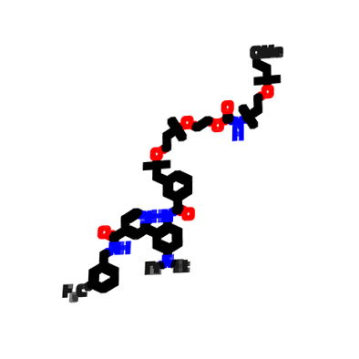 CCN(CC)c1ccc(NC(=O)c2cccc(CC(C)(C)OCCC(C)(C)OCCOC(=O)NC(C)(C)CCOC(C)(C)CCOC)c2)c(-c2cc(C(=O)NCc3cccc(C(F)(F)F)c3)ccn2)c1